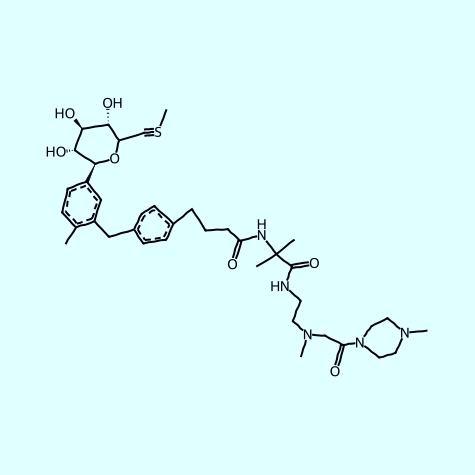 CS#CC1O[C@@H](c2ccc(C)c(Cc3ccc(CCCC(=O)NC(C)(C)C(=O)NCCN(C)CC(=O)N4CCN(C)CC4)cc3)c2)[C@H](O)[C@@H](O)[C@@H]1O